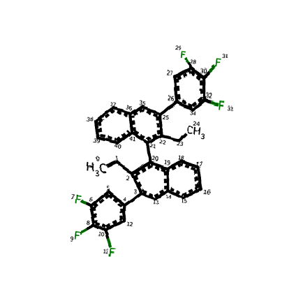 CCc1c(-c2cc(F)c(F)c(F)c2)cc2ccccc2c1-c1c(CC)c(-c2cc(F)c(F)c(F)c2)cc2ccccc12